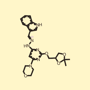 CC1(C)OCC(COc2nc(N/N=C/c3c[nH]c4ccccc34)cc(N3CCOCC3)n2)O1